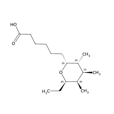 CC[C@H]1O[C@H](CCCCCC(=O)O)[C@H](C)[C@@H](C)[C@H]1C